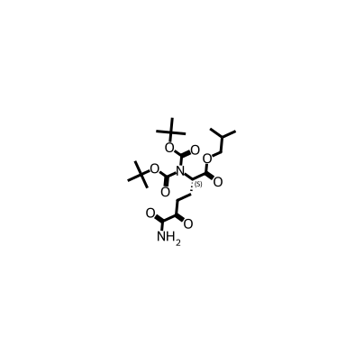 CC(C)COC(=O)[C@H](CCC(=O)C(N)=O)N(C(=O)OC(C)(C)C)C(=O)OC(C)(C)C